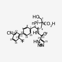 CCCC(CO)(C[C@@H](Cc1ccc(-c2cc(Cl)ccc2F)cc1)NC(=O)c1cnn[nH]1)C(=O)O